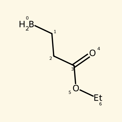 BCCC(=O)OCC